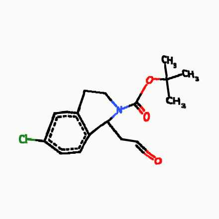 CC(C)(C)OC(=O)N1CCc2cc(Cl)ccc2C1CC=O